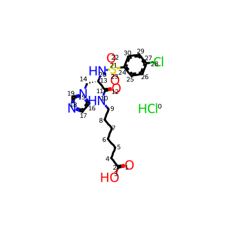 Cl.O=C(O)CCCCCCNC(=O)[C@H](Cn1ccnc1)NS(=O)(=O)c1ccc(Cl)cc1